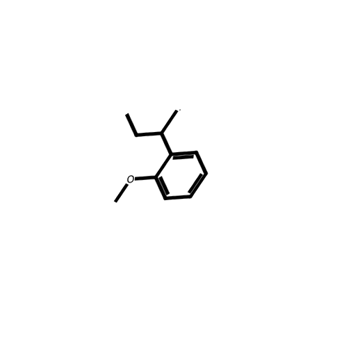 [CH2]C(CC)c1ccccc1OC